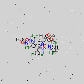 CC(C)(CCc1ccc(-c2ccc(Cl)c3c(NS(C)(=O)=O)nn(CC(F)(F)F)c23)c([C@H](Cc2cc(F)cc(F)c2)NC(=O)Cn2nc(C(F)F)c3c2C(F)(F)C2CC[C@H]32)n1)S(=O)(=O)C1CC1